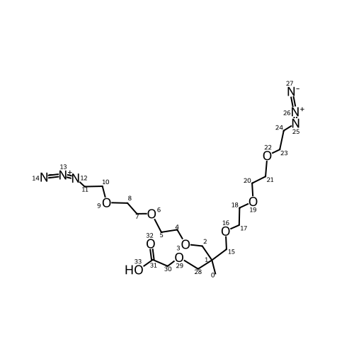 CC(COCCOCCOCCN=[N+]=[N-])(COCCOCCOCCN=[N+]=[N-])COCC(=O)O